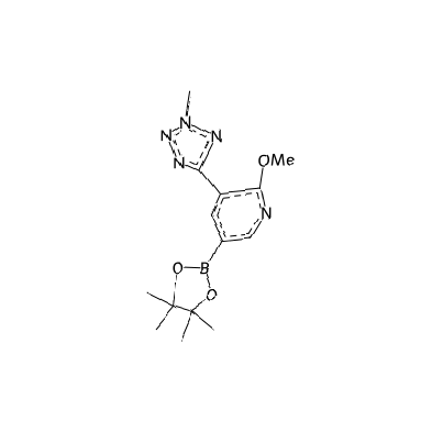 COc1ncc(B2OC(C)(C)C(C)(C)O2)cc1-c1nnn(C)n1